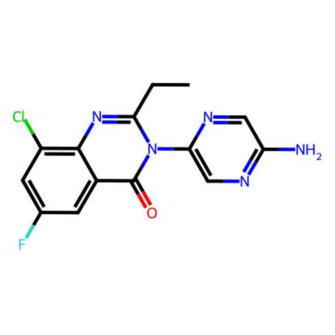 CCc1nc2c(Cl)cc(F)cc2c(=O)n1-c1cnc(N)cn1